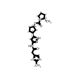 Cc1ncc(CC(=O)Nc2cc([C@H]3CC[C@@H](OC(=O)N4CCC[C@@H]4C)C3)[nH]n2)s1